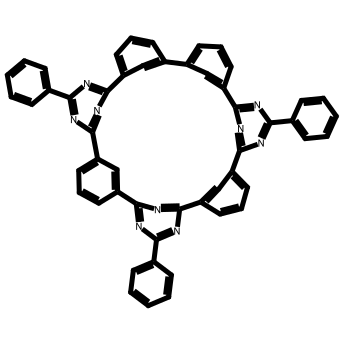 c1ccc(-c2nc3nc(n2)-c2cccc(c2)-c2nc(-c4ccccc4)nc(n2)-c2cccc(c2)-c2nc(-c4ccccc4)nc(n2)-c2cccc(c2)-c2cccc-3c2)cc1